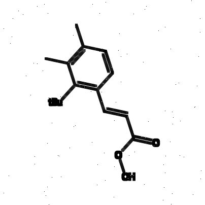 Cc1ccc(/C=C/C(=O)OO)c(C(C)(C)C)c1C